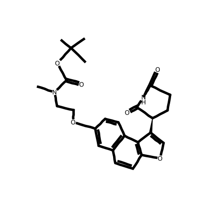 CN(CCOc1ccc2c(ccc3occ([C@@H]4CCC(=O)NC4=O)c32)c1)C(=O)OC(C)(C)C